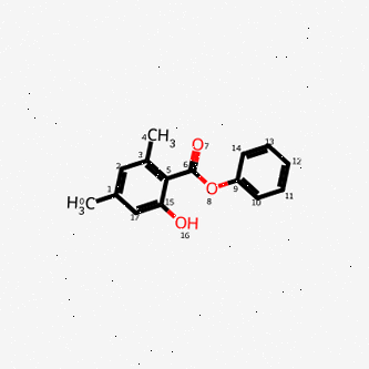 Cc1cc(C)c(C(=O)Oc2ccccc2)c(O)c1